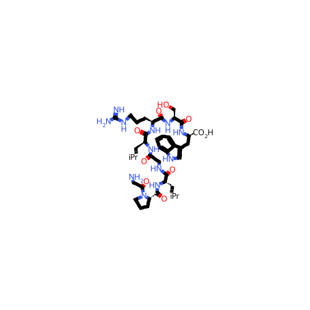 CC(C)C[C@H](NC(=O)CNC(=O)[C@H](CC(C)C)NC(=O)[C@@H]1CCCN1C(=O)CN)C(=O)N[C@@H](CCCNC(=N)N)C(=O)N[C@@H](CO)C(=O)N[C@@H](Cc1c[nH]c2ccccc12)C(=O)O